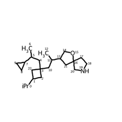 CC(C)C1CC(CC(C)C2CC2)(CC(C)C2COC3(CCNC3)C2)C1